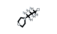 [2H]C([2H])(Cl)C([2H])([2H])C([2H])([2H])N1CCOCC1